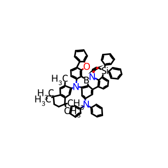 Cc1cc2c(cc1N1c3cc(N(c4ccccc4)c4ccccc4)cc4c3B(c3c1ccc1c3oc3ccccc31)N1c3ccccc3[Si](c3ccccc3)(c3ccccc3)c3cccc-4c31)C(C)(C)CCC2(C)C